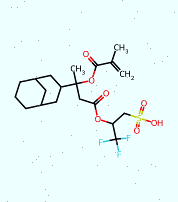 C=C(C)C(=O)OC(C)(CC(=O)OC(CS(=O)(=O)O)C(F)(F)F)C1CC2CCCC(C2)C1